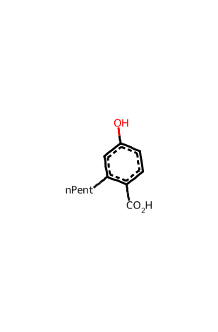 CCCCCc1cc(O)ccc1C(=O)O